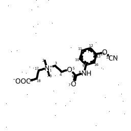 C[N+](C)(CCOC(=O)Nc1cccc(OC#N)c1)CCC(=O)[O-]